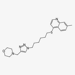 Cc1ccc2c(SCCCCCCn3cc(CN4CCOCC4)nn3)ccnc2c1